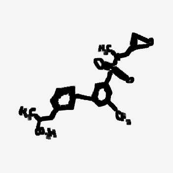 C[C@@H](Cc1cccc(-c2cc(C(F)(F)F)cc(S(=O)(=O)N(C)CC3CO3)c2)c1)C(=O)O